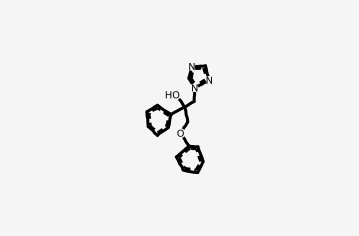 OC(COc1ccccc1)(Cn1cncn1)c1ccccc1